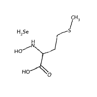 CSCCC(NO)C(=O)O.[SeH2]